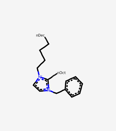 CCCCCCCCCCCCCC[n+]1ccn(Cc2ccccc2)c1CCCCCCCC